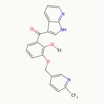 CCOc1c(OCc2ccc(C(F)(F)F)nc2)cccc1C(=O)c1c[nH]c2ncccc12